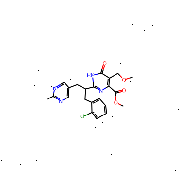 COCc1c(C(=O)OC)nc(C(Cc2cnc(C)nc2)Cc2ccccc2Cl)[nH]c1=O